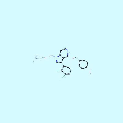 COc1ccc(COc2nc(Cl)cc3c2c(-c2cccc(Cl)c2Cl)cn3COCC[Si](C)(C)C)cc1